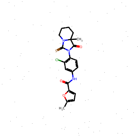 Cc1ccc(C(=O)Nc2ccc(N3C(=O)C4(C)CCCCN4C3=S)c(Cl)c2)o1